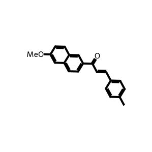 COc1ccc2cc(C(=O)/C=C/c3ccc(C)cc3)ccc2c1